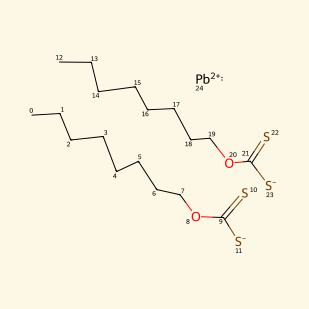 CCCCCCCCOC(=S)[S-].CCCCCCCCOC(=S)[S-].[Pb+2]